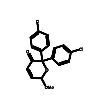 COC1C=CC(=O)C(c2ccc(Cl)cc2)(c2ccc(Cl)cc2)O1